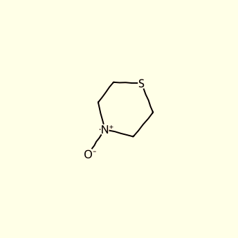 [O-][N+]1CCSCC1